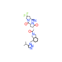 CC(C)c1cnnn1Cc1cccc2c1CN(C(=O)C[C@@H]1C[C@@H](C(=O)N3CC(F)(F)C[C@H]3C#N)NC1=O)C2